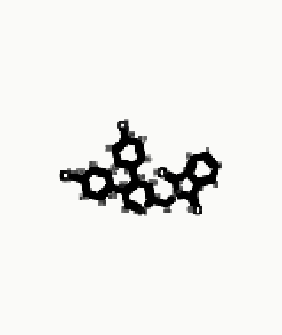 O=C1c2ccccc2C(=O)N1Cc1cc(-c2ccc(Cl)cc2)c(-c2ccc(Cl)cc2)cn1